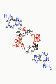 Nc1ncnc2c1ncn2[C@@H]1C[C@@H]2COP(=O)(O)O[C@@H]3C[C@H](n4cnc5c(N)ccnc54)O[C@@H]3COP(=O)(O)O[C@@H]2C1